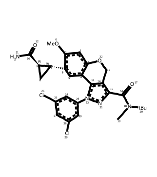 COc1cc2c(cc1[C@@H]1C[C@H]1C(N)=O)-c1c(c(C(=O)N(C)C(C)(C)C)nn1-c1cc(Cl)cc(Cl)c1)CO2